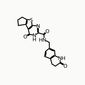 O=C1CCc2ccc(CNC(=O)c3nc4sc5c(c4c(=O)[nH]3)CCC5)cc2N1